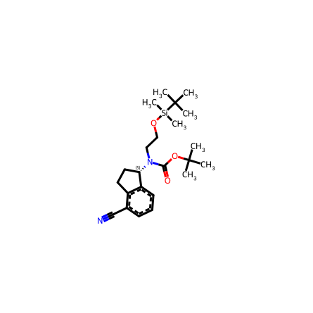 CC(C)(C)OC(=O)N(CCO[Si](C)(C)C(C)(C)C)[C@H]1CCc2c(C#N)cccc21